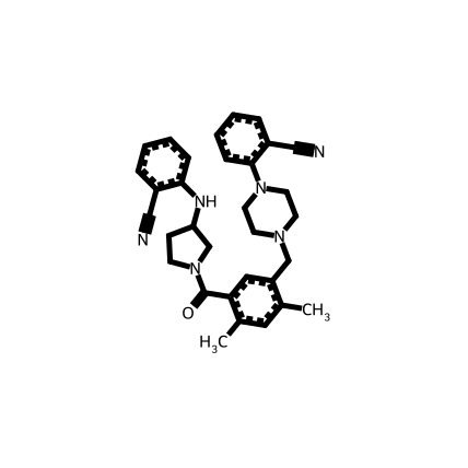 Cc1cc(C)c(C(=O)N2CCC(Nc3ccccc3C#N)C2)cc1CN1CCN(c2ccccc2C#N)CC1